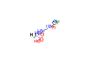 CC(CCC(=O)O)NC(=O)NCCCCCNC(=O)c1ccnc([18F])c1